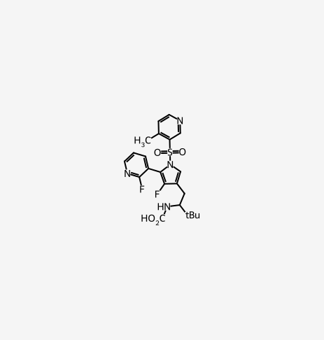 Cc1ccncc1S(=O)(=O)n1cc(CC(NC(=O)O)C(C)(C)C)c(F)c1-c1cccnc1F